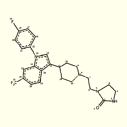 O=C1NCCN1CCN1CCC(c2cn(-c3ccc(F)cc3)c3cc(C(F)(F)F)ccc23)CC1